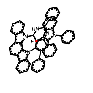 c1ccc(C2=NC(c3ccccc3)NC(n3c4ccccc4c4ccc5c6ccccc6n(-c6cc7c8ccccc8n(-c8ccccc8)c7cc6-c6ccccc6)c5c43)N2)cc1